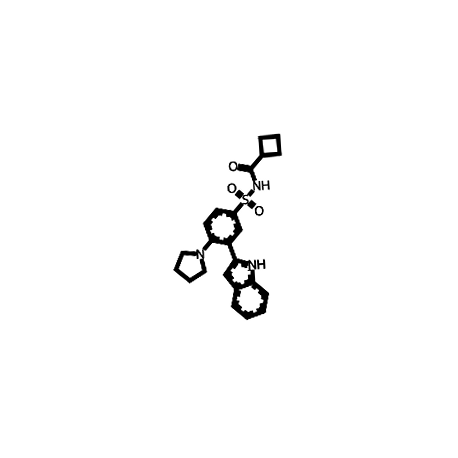 O=C(NS(=O)(=O)c1ccc(N2CCCC2)c(-c2cc3ccccc3[nH]2)c1)C1CCC1